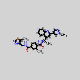 Cc1cc(C(=O)NCc2ncsc2C)ccc1C(=O)N[C@H](C)c1cc(-c2cnn(C)c2)nc2ccccc12